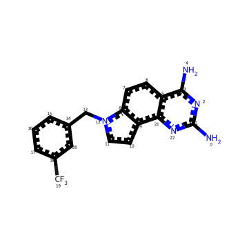 Nc1nc(N)c2ccc3c(ccn3Cc3cccc(C(F)(F)F)c3)c2n1